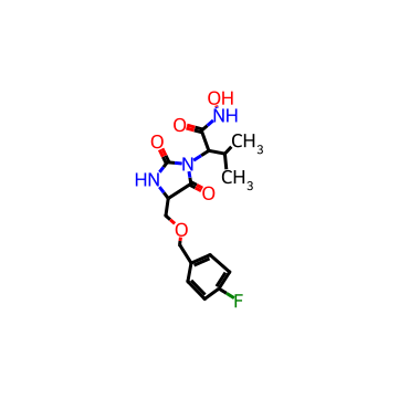 CC(C)C(C(=O)NO)N1C(=O)NC(COCc2ccc(F)cc2)C1=O